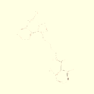 Nc1nc2ccccc2c2c1ncn2CCCCNC(=O)c1c(Cl)cccc1Cl